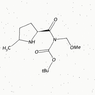 COCN(C(=O)OC(C)(C)C)C(=O)[C@@H]1CCC(C)N1